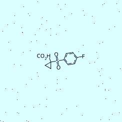 O=C(O)C1(S(=O)(=O)c2ccc(F)cc2)CC1